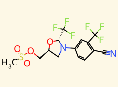 CS(=O)(=O)OC[C@@H]1CN(c2ccc(C#N)c(C(F)(F)F)c2)[C@@H](C(F)(F)F)O1